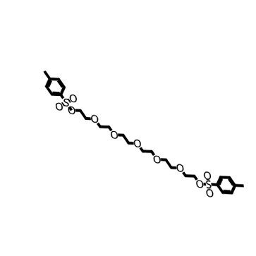 Cc1ccc(S(=O)(=O)OCCOCCOCCOCCOCCOCCOS(=O)(=O)c2ccc(C)cc2)cc1